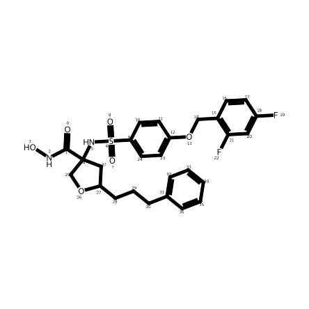 O=C(NO)C1(NS(=O)(=O)c2ccc(OCc3ccc(F)cc3F)cc2)COC(CCCc2ccccc2)C1